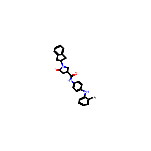 CC(C)c1ccccc1Nc1ccc(NC(=O)C2CC(=O)N(C3Cc4ccccc4C3)C2)cc1